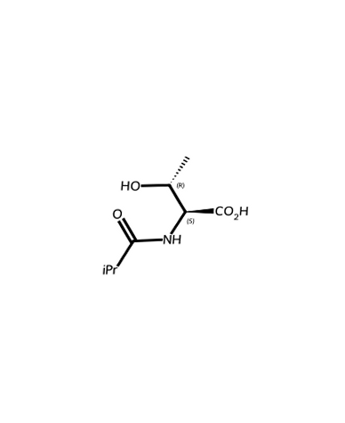 CC(C)C(=O)N[C@H](C(=O)O)[C@@H](C)O